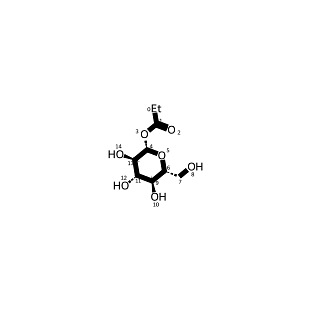 CCC(=O)O[C@@H]1O[C@H](CO)[C@@H](O)[C@H](O)[C@H]1O